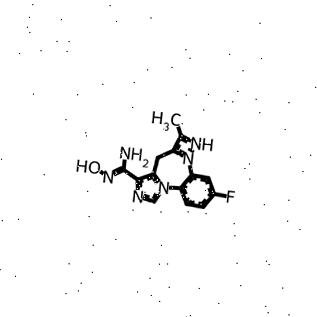 Cc1[nH]n2c1Cc1c(/C(N)=N/O)ncn1-c1ccc(F)cc1-2